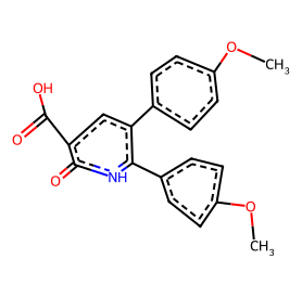 COc1ccc(-c2cc(C(=O)O)c(=O)[nH]c2-c2ccc(OC)cc2)cc1